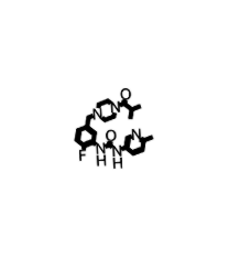 Cc1ccc(NC(=O)Nc2cc(CN3CCN(C(=O)C(C)C)CC3)ccc2F)cn1